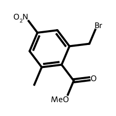 COC(=O)c1c(C)cc([N+](=O)[O-])cc1CBr